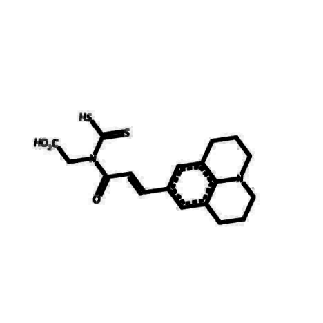 O=C(O)CN(C(=O)/C=C/c1cc2c3c(c1)CCCN3CCC2)C(=S)S